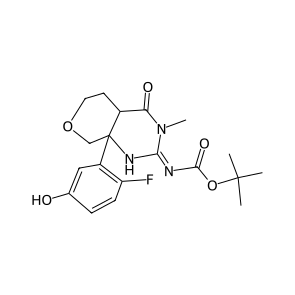 CN1C(=O)C2CCOCC2(c2cc(O)ccc2F)NC1=NC(=O)OC(C)(C)C